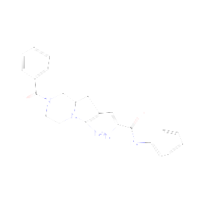 O=C(Nc1ccccc1)c1cc2c(nn1)N1CCN(C(=O)c3ccccc3)CC1C2